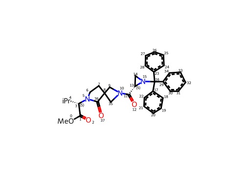 COC(=O)[C@H](C(C)C)N1CCC2(CN(C(=O)[C@@H]3CN3C(c3ccccc3)(c3ccccc3)c3ccccc3)C2)C1=O